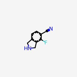 N#Cc1ccc2c(c1F)CNC2